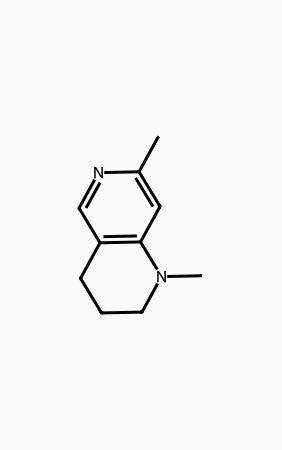 Cc1cc2c(cn1)CCCN2C